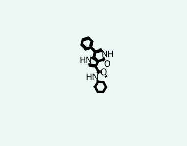 COC(NC1CCCCC1)c1c[nH]c2c(-c3ccccc3)c[nH]c(=O)c12